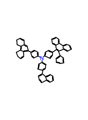 C1=Cc2cc(-c3ccc(N(c4ccc(-c5cccc6ccccc56)cc4)c4ccc(-c5c(-c6ccccc6)c6ccccc6c6ccccc56)cc4)cc3)c3c(c2CC1)CCC=C3